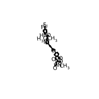 CNC(=O)C(CCC=O)N1C(=O)c2ccc(N3CC(C#Cc4cnn(C(C)(C)C(=O)Nc5ccc(C(F)(F)F)cc5)c4)C3)cc2C1=O